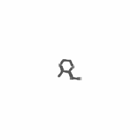 CC1=NCCSC1=NO